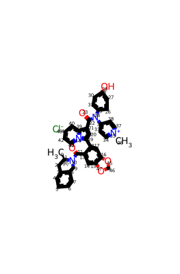 C[C@@H]1Cc2ccccc2CN1C(=O)c1cc2c(cc1-c1cc(C(=O)N(c3ccc(O)cc3)c3cc[n+](C)cc3)c3ccccn13)OCO2.[Cl-]